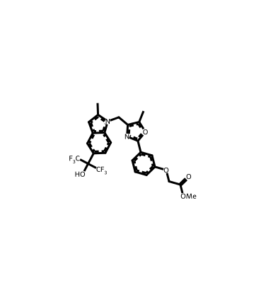 COC(=O)COc1cccc(-c2nc(Cn3c(C)cc4cc(C(O)(C(F)(F)F)C(F)(F)F)ccc43)c(C)o2)c1